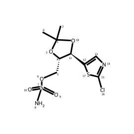 CC1(C)O[C@@H](COS(N)(=O)=O)[C@H](c2cnc(Cl)s2)O1